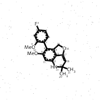 COc1cc(F)ccc1-c1c(OC)cc2c3c1COC3=CC(C)(C)N2